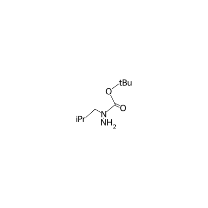 CC(C)CN(N)C(=O)OC(C)(C)C